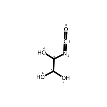 O=C=NC(O)C(O)O